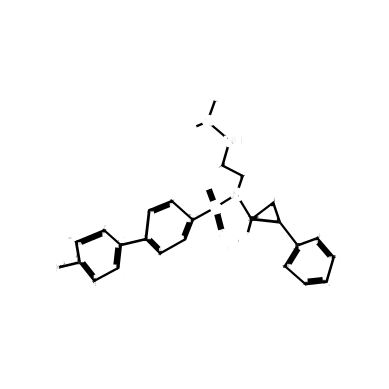 C[S+]([O-])NCCN(C1(C(=O)O)CC1c1ccccc1)S(=O)(=O)c1ccc(-c2ccc(Cl)cc2)cc1